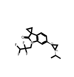 CC(C)[C@H]1C[C@@H]1c1ccc2c(c1)N(CC(F)(F)C(F)F)C(=O)C21CC1